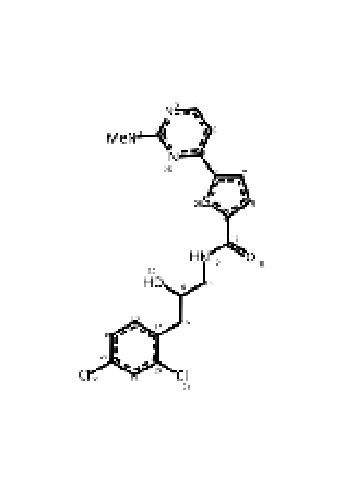 CNc1nccc(-c2ccc(C(=O)NCC(O)Cc3ccc(Cl)cc3Cl)s2)n1